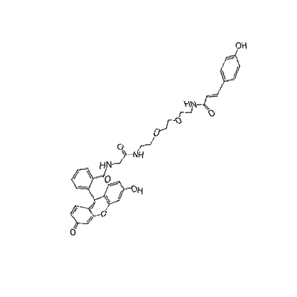 O=C(/C=C/c1ccc(O)cc1)NCCOCCOCCNC(=O)CNC(=O)c1ccccc1-c1c2ccc(=O)cc-2oc2cc(O)ccc12